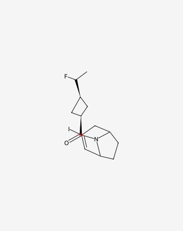 CC(F)[C@H]1C[C@@H](C(=O)N2C3C=C(I)CC2CC3)C1